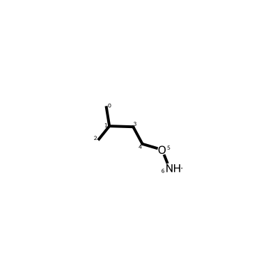 CC(C)CCO[NH]